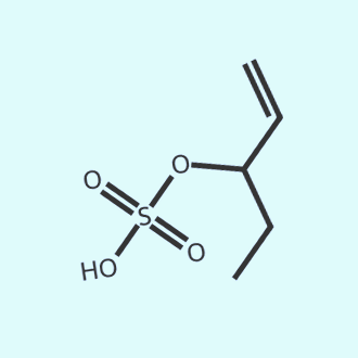 C=CC(CC)OS(=O)(=O)O